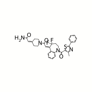 Cc1nc(-c2ccccc2)sc1C(=O)N1CCC(F)(F)/C(=C\C(=O)N2CCC(=CC(N)=O)CC2)c2ccccc21